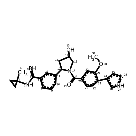 B=C(NC1(C)CC1)c1cccc(C2CC(O)CN2C(=O)c2ccc(-c3cn[nH]c3)c(OC)c2)c1